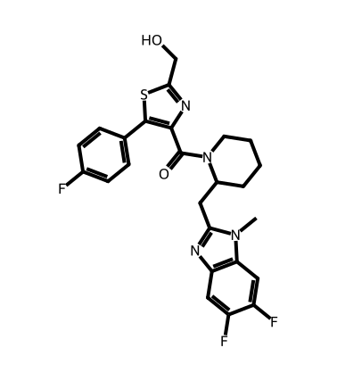 Cn1c(CC2CCCCN2C(=O)c2nc(CO)sc2-c2ccc(F)cc2)nc2cc(F)c(F)cc21